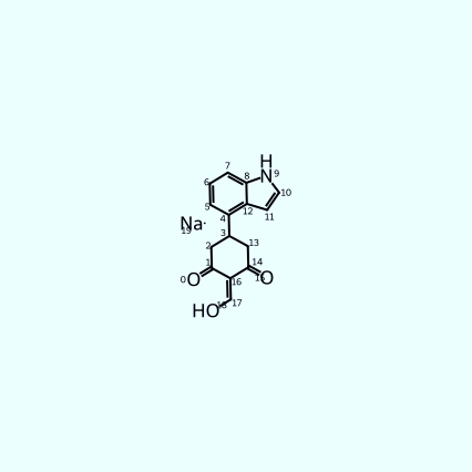 O=C1CC(c2cccc3[nH]ccc23)CC(=O)C1=CO.[Na]